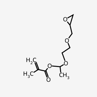 C=C(C)C(=O)OC(C)OCCOCC1CO1